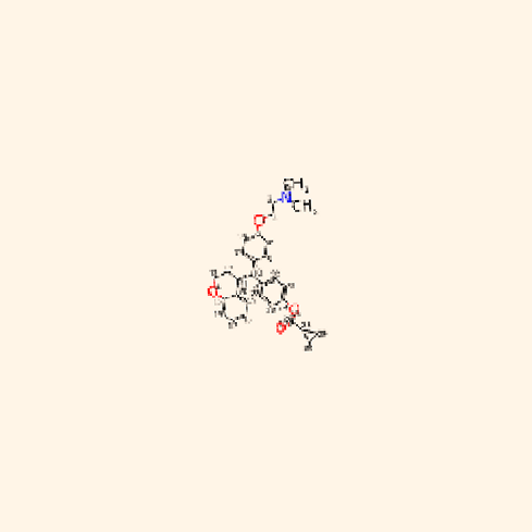 CN(C)CCOc1ccc(C(=C2CCOc3ccccc32)c2ccc(OC(=O)C3CC3)cc2)cc1